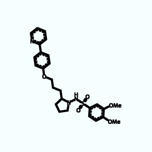 COc1ccc(S(=O)(=O)NN2CCCC2CCCOc2ccc(-c3ccccn3)cc2)cc1OC